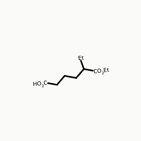 CCOC(=O)C(CC)CCCC(=O)O